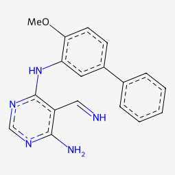 COc1ccc(-c2ccccc2)cc1Nc1ncnc(N)c1C=N